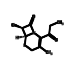 CCC(=O)C1=C(C)CS[C@H]2[C@@H](Cl)C(=O)N12